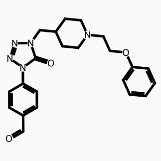 O=Cc1ccc(-n2nnn(CC3CCN(CCOc4ccccc4)CC3)c2=O)cc1